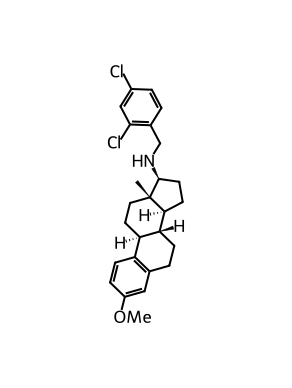 COc1ccc2c(c1)CC[C@@H]1[C@@H]2CC[C@]2(C)[C@@H](NCc3ccc(Cl)cc3Cl)CC[C@@H]12